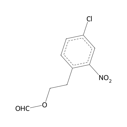 O=COCCc1ccc(Cl)cc1[N+](=O)[O-]